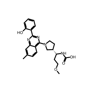 COCCC(NC(=O)O)[C@H]1CCN(c2nc(-c3ccccc3O)nc3cc(C)ccc23)C1